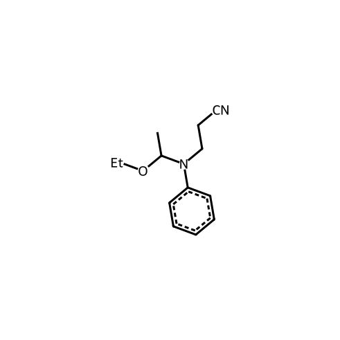 CCOC(C)N(CCC#N)c1ccccc1